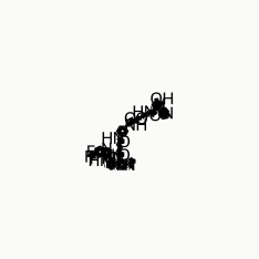 CC(C)N(C)[C@@H]1CC[C@H](N2CC[C@H](Nc3ncnc4ccc(C(F)(F)F)cc34)C2=O)[C@H](NC(=O)CCCC(=O)N[C@H]2CC[C@@H](CNC(=O)CCOCCNC(=O)[C@H]3CC(O)N(C)[C@@H]3c3cccnc3)CC2)C1